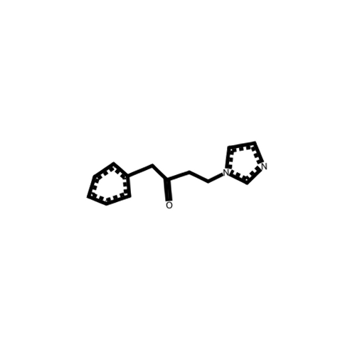 O=C(CCn1ccnc1)Cc1ccccc1